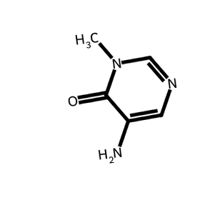 Cn1cncc(N)c1=O